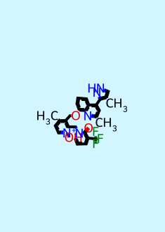 Cc1cc(-c2n[nH]cc2C)c2cccc(OCc3c(C)cc[n+](O)c3Cn3cccc(C(F)(F)F)c3=O)c2n1